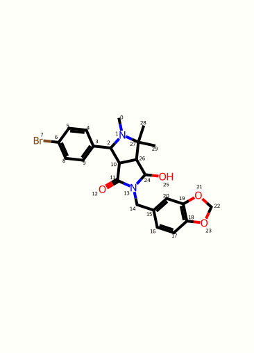 CN1C(c2ccc(Br)cc2)C2C(=O)N(Cc3ccc4c(c3)OCO4)C(O)C2C1(C)C